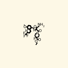 CCOC(=O)C1(F)CCN(C(=O)c2nc(-c3ccc(OC)c4nc(C(F)(F)F)ccc34)oc2CN)CC1